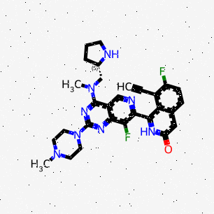 C#Cc1c(F)ccc2cc(=O)[nH]c(-c3ncc4c(N(C)C[C@@H]5CCCN5)nc(N5CCN(C)CC5)nc4c3F)c12